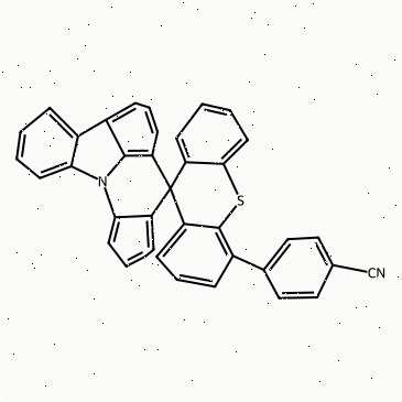 N#Cc1ccc(-c2cccc3c2Sc2ccccc2C32c3ccccc3-n3c4ccccc4c4cccc2c43)cc1